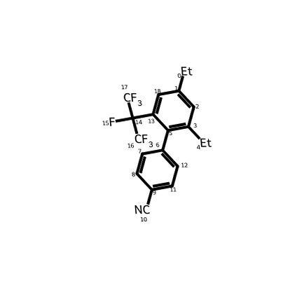 CCc1[c]c(CC)c(-c2ccc(C#N)cc2)c(C(F)(C(F)(F)F)C(F)(F)F)c1